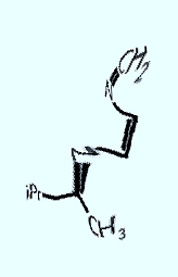 C=N/C=C\N=C(/C)C(C)C